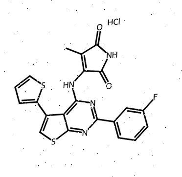 CC1=C(Nc2nc(-c3cccc(F)c3)nc3scc(-c4cccs4)c23)C(=O)NC1=O.Cl